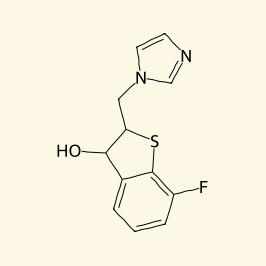 OC1c2cccc(F)c2SC1Cn1ccnc1